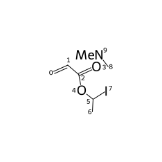 C=CC(=O)OC(C)I.CNC